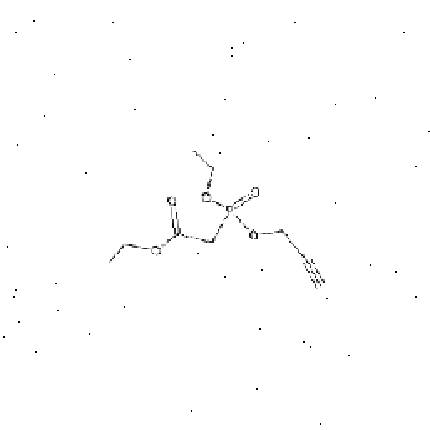 C#CCOP(=O)(CC(=O)OCC)OCC